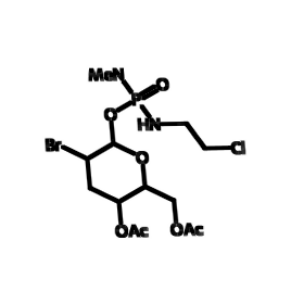 CNP(=O)(NCCCl)OC1OC(COC(C)=O)C(OC(C)=O)CC1Br